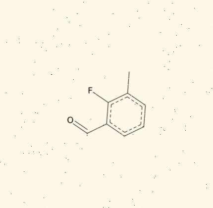 Cc1cccc([C]=O)c1F